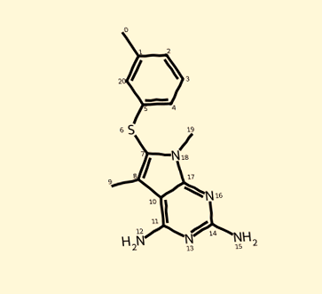 Cc1cccc(Sc2c(C)c3c(N)nc(N)nc3n2C)c1